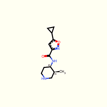 C[C@H]1CNCC[C@H]1NC(=O)c1cc(C2CC2)on1